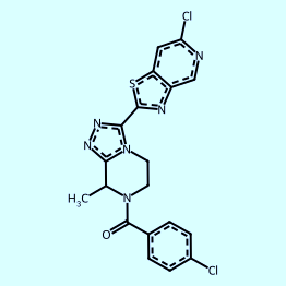 CC1c2nnc(-c3nc4cnc(Cl)cc4s3)n2CCN1C(=O)c1ccc(Cl)cc1